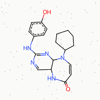 O=C1C=CN(C2CCCCC2)C2N=C(Nc3ccc(O)cc3)N=CC2N1